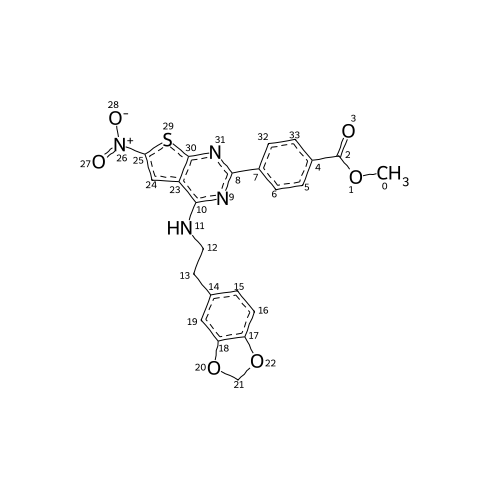 COC(=O)c1ccc(-c2nc(NCCc3ccc4c(c3)OCO4)c3cc([N+](=O)[O-])sc3n2)cc1